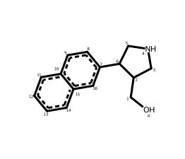 OCC1CNCC1c1ccc2ccccc2c1